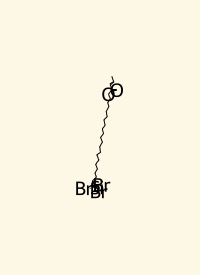 CC=CC(=O)OCCCCCCCCCCCCCCCCCCCC[Si](Br)(Br)Br